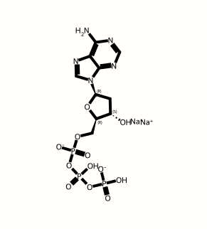 Nc1ncnc2c1ncn2[C@H]1C[C@H](O)[C@@H](COP(=O)([O-])OP(=O)(O)OP(=O)([O-])O)O1.[Na+].[Na+]